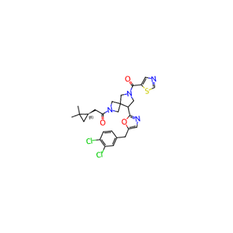 CC1(C)C[C@@H]1CC(=O)N1CC2(C1)CN(C(=O)c1cncs1)CC2c1ncc(Cc2ccc(Cl)c(Cl)c2)o1